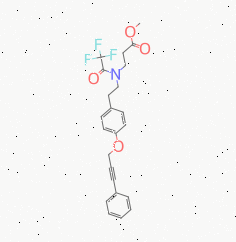 COC(=O)CCN(CCc1ccc(OCC#Cc2ccccc2)cc1)C(=O)C(F)(F)F